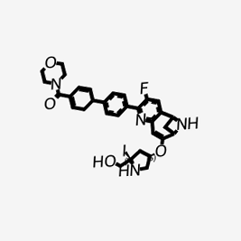 O=C(C1=CCC(c2ccc(-c3nc4c(cc3F)C3CC(N3)C(O[C@@H]3CN[C@](I)(CO)C3)=C4)cc2)C=C1)N1CCOCC1